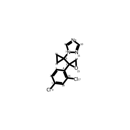 Clc1ccc(C2(C3(n4cncn4)CC3)CO2)c(Cl)c1